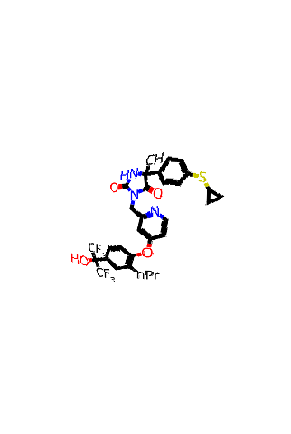 CCCc1cc(C(O)(C(F)(F)F)C(F)(F)F)ccc1Oc1ccnc(CN2C(=O)NC(C)(c3ccc(SC4CC4)cc3)C2=O)c1